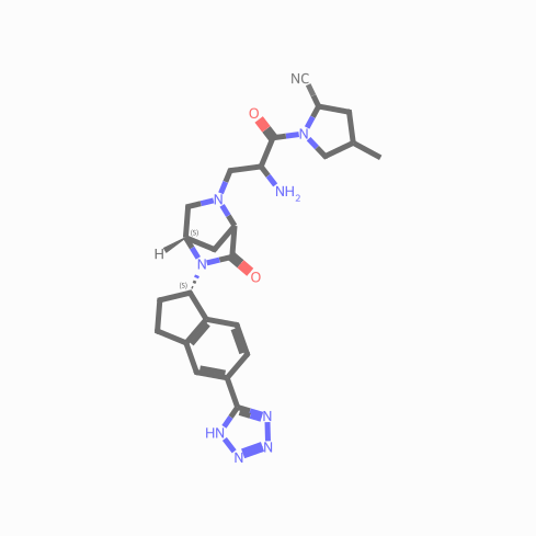 CC1CC(C#N)N(C(=O)C(N)CN2C[C@@H]3CC2C(=O)N3[C@H]2CCc3cc(-c4nnn[nH]4)ccc32)C1